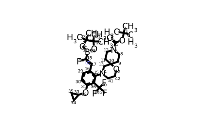 CC(C)(C)OC(=O)N1CCC2(CC1)CN(c1c(/C=C(\F)B3OC(C)(C)C(C)(C)O3)ccc(OC3CC3)c1C(F)(F)F)CCO2